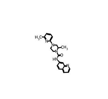 Cc1cccc(N2CCN(C(=O)Nc3ccc4cccnc4c3)C(C)C2)n1